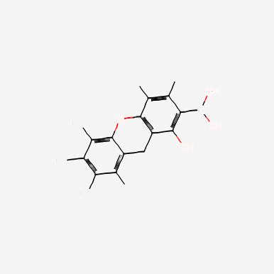 Bc1c(B)c(B)c2c(c1B)Cc1c(O)c(B(O)O)c(B)c(B)c1O2